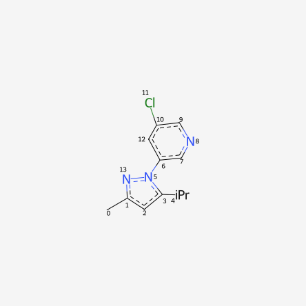 Cc1cc(C(C)C)n(-c2cncc(Cl)c2)n1